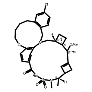 CO[C@H]1C2=CC(C2)[C@H](C)N(C)S(=O)(=O)NC(=O)c2ccc3c(c2)N(Cc2ccc(Cl)cc2CCCCO3)C[C@@H]2CC[C@H]21